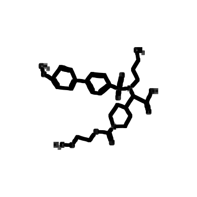 CCCCN(C(C(=O)O)C1CCN(C(=O)OCCOC)CC1)S(=O)(=O)c1ccc(-c2ccc(OC)cc2)cc1